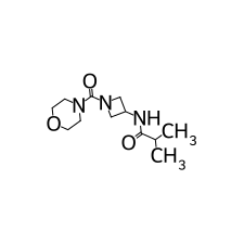 CC(C)C(=O)NC1CN(C(=O)N2CCOCC2)C1